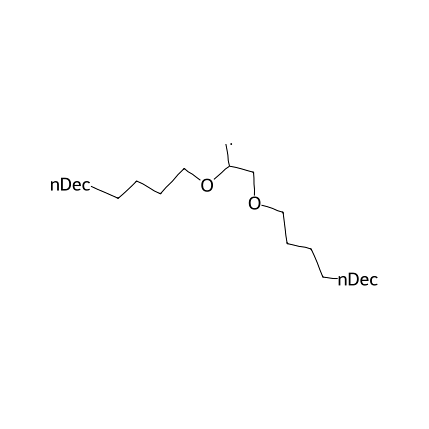 [CH2]C(COCCCCCCCCCCCCCC)OCCCCCCCCCCCCCC